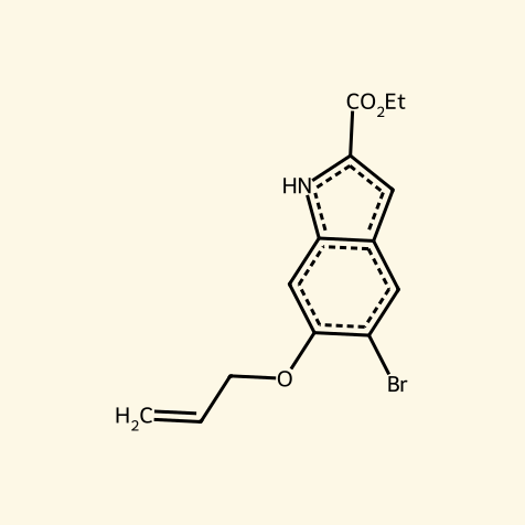 C=CCOc1cc2[nH]c(C(=O)OCC)cc2cc1Br